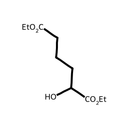 CCOC(=O)CCCC(O)C(=O)OCC